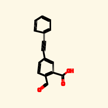 O=Cc1ccc(C#Cc2ccccc2)cc1C(=O)O